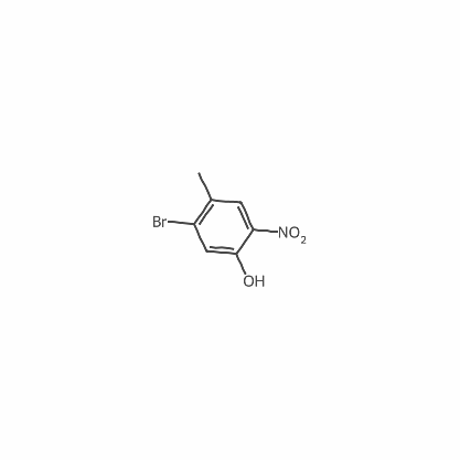 Cc1cc([N+](=O)[O-])c(O)cc1Br